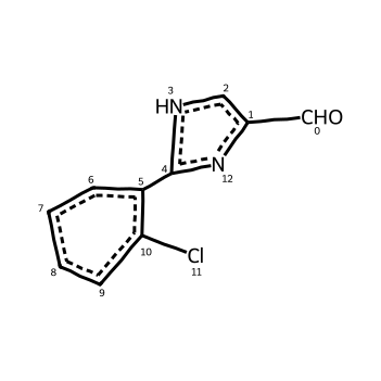 O=Cc1c[nH]c(-c2ccccc2Cl)n1